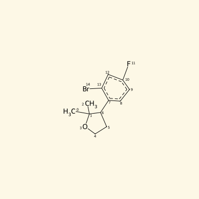 CC1(C)OCCC1c1ccc(F)cc1Br